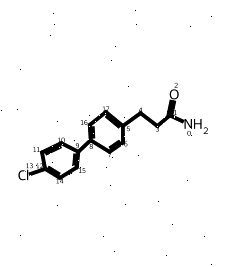 NC(=O)CCc1ccc(-c2ccc(Cl)cc2)cc1